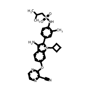 Cc1cc(-c2c(N)c3ccc(Oc4nccnc4C#N)cc3n2C2CCC2)ccc1NS(=O)(=O)CC(C)C